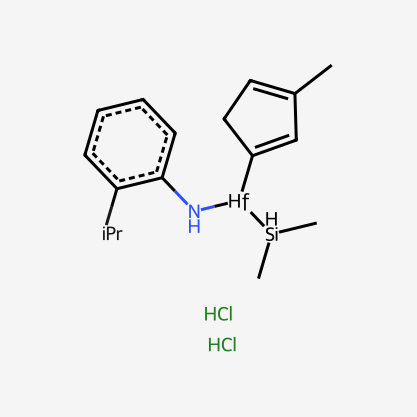 CC1=CC[C]([Hf]([NH]c2ccccc2C(C)C)[SiH](C)C)=C1.Cl.Cl